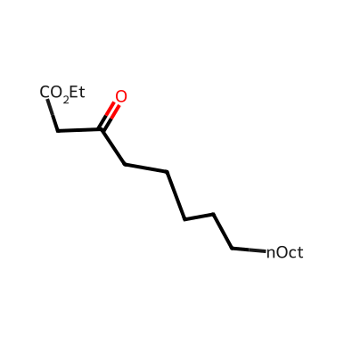 CCCCCCCCCCCCCC(=O)CC(=O)OCC